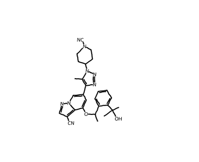 Cc1c(-c2cc(OC(C)c3ccccc3C(C)(C)O)c3c(C#N)cnn3c2)nnn1C1CCN(C#N)CC1